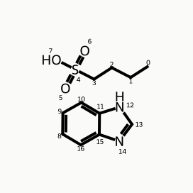 CCCCS(=O)(=O)O.c1ccc2[nH]cnc2c1